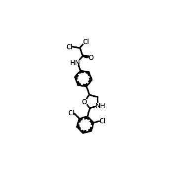 O=C(Nc1ccc(C2CNC(c3c(Cl)cccc3Cl)O2)cc1)C(Cl)Cl